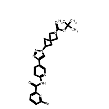 CC(C)(C)OC(=O)N1CC2(CC(n3cc(-c4ccc(NC(=O)c5cccc(Br)n5)nc4)nn3)C2)C1